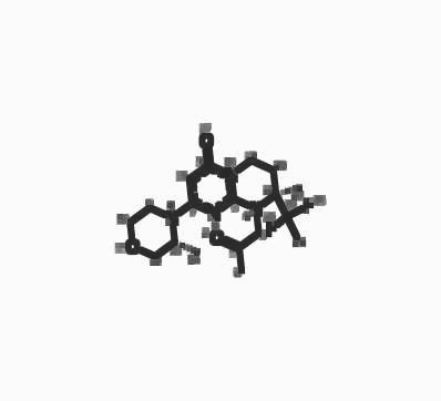 CC(=O)CN1c2nc(N3CCOC[C@H]3C)cc(=O)n2CC[C@@]1(C)C(C)(F)F